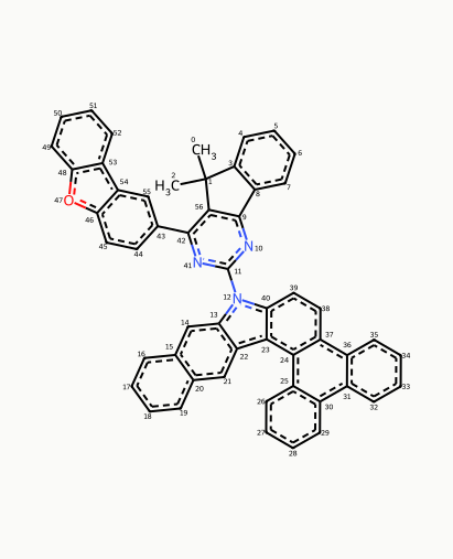 CC1(C)c2ccccc2-c2nc(-n3c4cc5ccccc5cc4c4c5c6ccccc6c6ccccc6c5ccc43)nc(-c3ccc4oc5ccccc5c4c3)c21